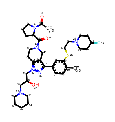 O=C(C1CCCN1C(=O)C(F)(F)F)N1CCc2c(c(-c3ccc(C(F)(F)F)c(SCCN4CCC(F)CC4)c3)nn2CC(O)CN2CCCCC2)C1